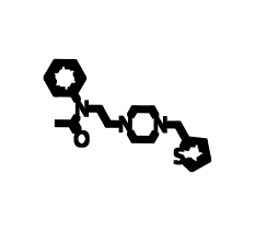 CC(=O)N(CCN1CCN(Cc2cccs2)CC1)c1ccccc1